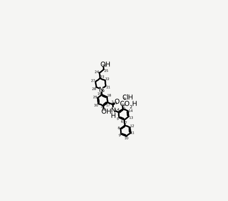 Cl.O=C(Nc1cc(-c2ccccc2)ccc1C(=O)O)c1cc(N2CCC(CCO)CC2)ccc1O